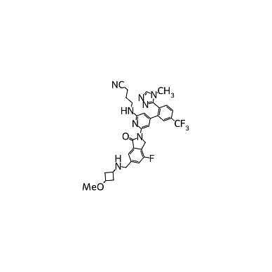 CO[C@H]1C[C@@H](NCc2cc(F)c3c(c2)C(=O)N(c2cc(-c4cc(C(F)(F)F)ccc4-c4nncn4C)cc(NCCCC#N)n2)C3)C1